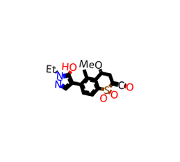 CCn1ncc(-c2ccc3c(c2C)C(OC)CC(=C=O)S3(=O)=O)c1O